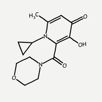 Cc1cc(=O)c(O)c(C(=O)N2CCOCC2)n1C1CC1